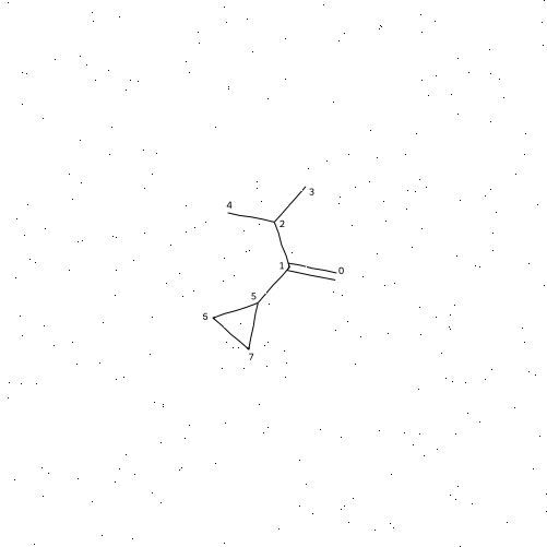 C=C(C(C)C)C1CC1